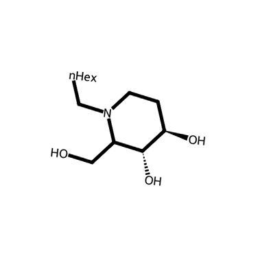 CCCCCCCN1CC[C@@H](O)[C@H](O)C1CO